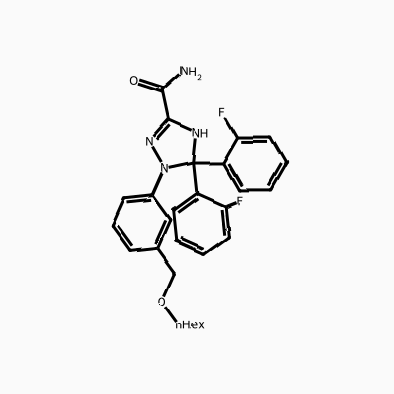 CCCCCCOCc1cccc(N2N=C(C(N)=O)NC2(c2ccccc2F)c2ccccc2F)c1